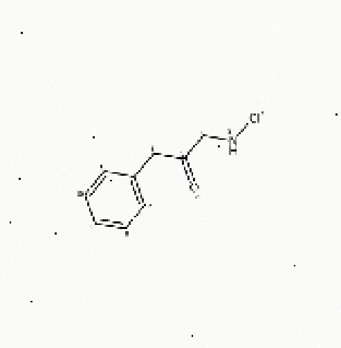 O=C(CNCl)Cc1ccccc1